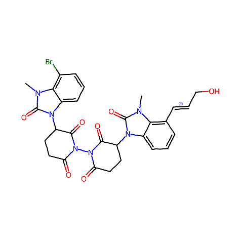 Cn1c(=O)n(C2CCC(=O)N(N3C(=O)CCC(n4c(=O)n(C)c5c(/C=C/CO)cccc54)C3=O)C2=O)c2cccc(Br)c21